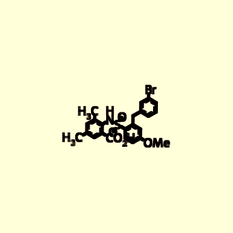 COc1ccc(S(=O)(=O)Nc2c(C)cc(C)cc2C(=O)O)c(Cc2cccc(Br)c2)c1